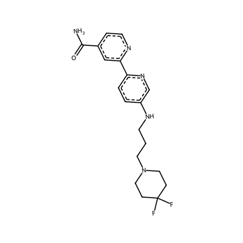 NC(=O)c1ccnc(-c2ccc(NCCCN3CCC(F)(F)CC3)cn2)c1